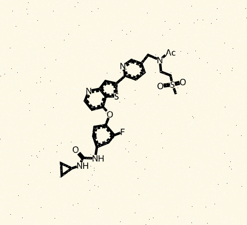 CC(=O)N(CCS(C)(=O)=O)Cc1ccc(-c2cc3nccc(Oc4ccc(NC(=O)NC5CC5)cc4F)c3s2)nc1